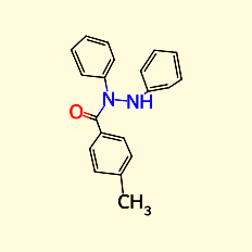 Cc1ccc(C(=O)N(Nc2ccccc2)c2ccccc2)cc1